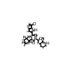 N#C[C@H](C[C@@H]1CCCNC1=O)NC(=O)[C@@H]1[C@H]2CC(F)(F)C[C@H]2CN1C(=O)c1cc2scc(Cl)c2[nH]1